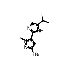 CC(I)c1cnc(-c2cc(C(C)(C)C)nn2C)[nH]1